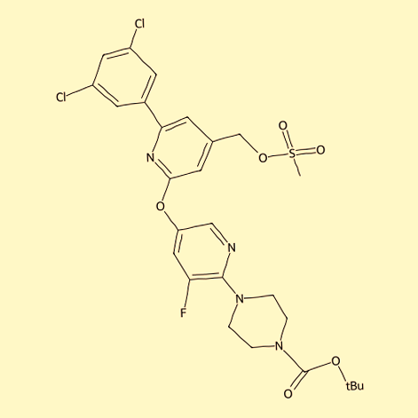 CC(C)(C)OC(=O)N1CCN(c2ncc(Oc3cc(COS(C)(=O)=O)cc(-c4cc(Cl)cc(Cl)c4)n3)cc2F)CC1